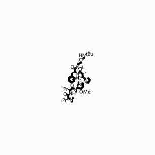 CC[C@H](C)C(C(CC(=O)N1CCC[C@H]1[C@H](OC)[C@@H](C)C(=O)N[C@@H](Cc1ccccc1)C(=O)NCCOCNC(C)(C)C)OC)N(C)C(=O)[C@@H](NC(=O)[C@H](C(C)C)N(C)C)C(C)C